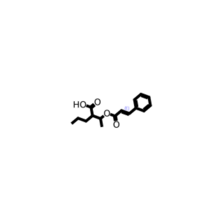 CCCC(C(=O)O)C(C)OC(=O)/C=C/c1ccccc1